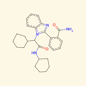 NC(=O)c1ccccc1-c1nc2ccccc2n1C(C(=O)NC1CCCCC1)C1CCCCC1